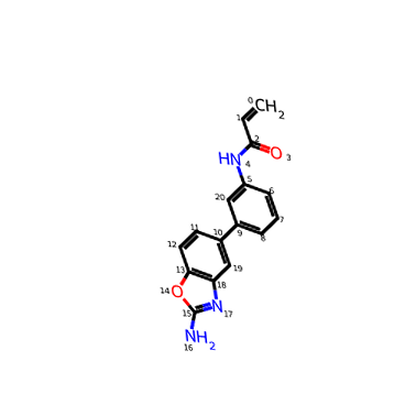 C=CC(=O)Nc1cccc(-c2ccc3oc(N)nc3c2)c1